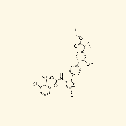 CCOC(=O)C1(c2ccc(-c3ccc(-c4sc(Cl)cc4NC(=O)O[C@H](C)c4ccccc4Cl)cc3)c(OC)c2)CC1